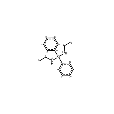 CCN[Si](NCC)(c1ccccc1)c1ccccc1